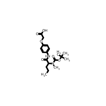 CCCC(C(=O)Nc1ccc(OCC(=O)O)cc1)N(C)C(=O)OC(C)(C)C